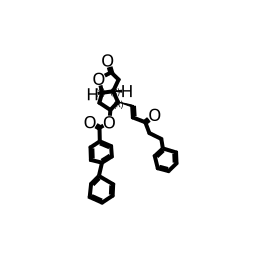 O=C(C=C[C@H]1C(OC(=O)c2ccc(-c3ccccc3)cc2)C[C@@H]2OC(=O)C[C@@H]21)CCc1ccccc1